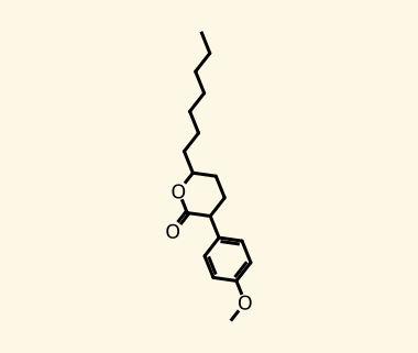 CCCCCCCC1CCC(c2ccc(OC)cc2)C(=O)O1